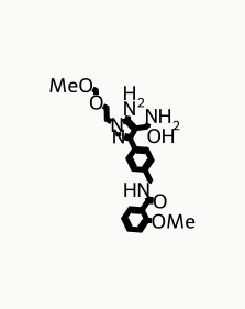 COCOCCn1nc(-c2ccc(CNC(=O)c3ccccc3OC)cc2)c(C(N)O)c1N